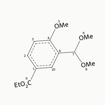 CCOC(=O)c1ccc(OC)c(C(OC)OC)c1